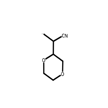 [CH2]C(C#N)C1COCCO1